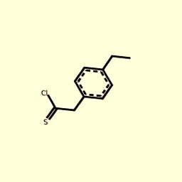 CCc1ccc(CC(=S)Cl)cc1